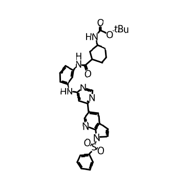 CC(C)(C)OC(=O)NC1CCCC(C(=O)Nc2cccc(Nc3cc(-c4cnc5c(ccn5S(=O)(=O)c5ccccc5)c4)ncn3)c2)C1